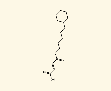 O=C(O)/C=C/C(=O)OCCCCCN1CCCCC1